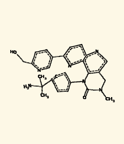 CN1Cc2cnc3ccc(-c4ccc(CO)nc4)nc3c2N(c2ccc(C(C)(C)N)cc2)C1=O